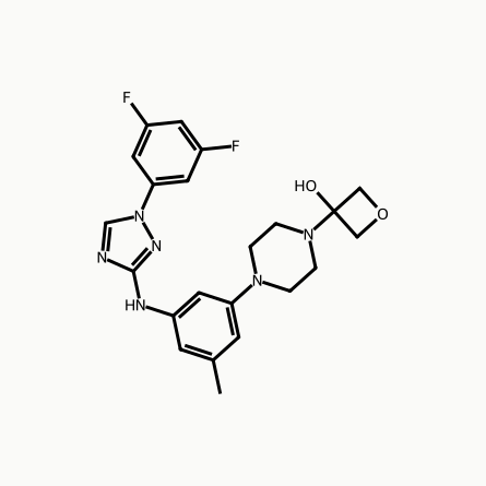 Cc1cc(Nc2ncn(-c3cc(F)cc(F)c3)n2)cc(N2CCN(C3(O)COC3)CC2)c1